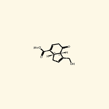 COC(=O)C1=CCC(=O)[C@@H]2C(CO)=CC[C@H]12